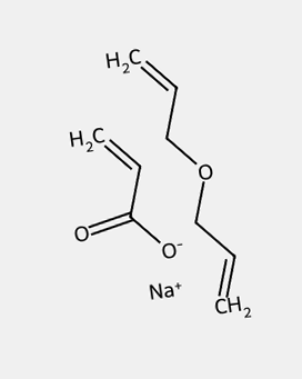 C=CC(=O)[O-].C=CCOCC=C.[Na+]